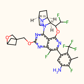 Cc1c(F)c(N)cc(-c2nc3c4c(nc(OCC56COC(C5)C6)nc4c2F)N2C[C@H]4CC[C@H](N4)[C@H]2C(C(F)F)O3)c1C(F)(F)F